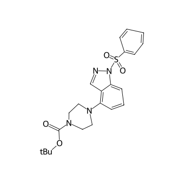 CC(C)(C)OC(=O)N1CCN(c2cccc3c2cnn3S(=O)(=O)c2ccccc2)CC1